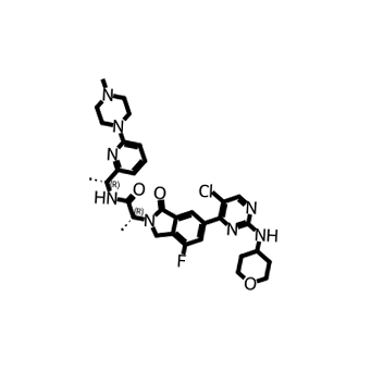 C[C@H](C(=O)N[C@H](C)c1cccc(N2CCN(C)CC2)n1)N1Cc2c(F)cc(-c3nc(NC4CCOCC4)ncc3Cl)cc2C1=O